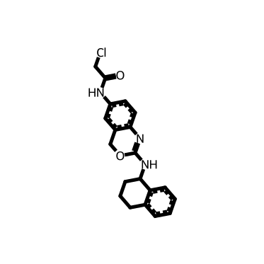 O=C(CCl)Nc1ccc2c(c1)COC(NC1CCCc3ccccc31)=N2